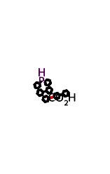 O=C(O)c1ccccc1.c1ccc(-c2ccccc2)cc1.c1ccc(-c2ccccc2)cc1.c1ccc(Pc2ccccc2)cc1